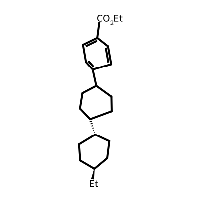 CCOC(=O)c1ccc(C2CCC([C@H]3CC[C@H](CC)CC3)CC2)cc1